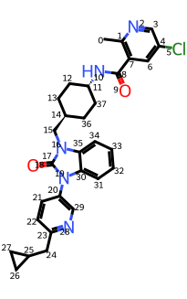 Cc1ncc(Cl)cc1C(=O)N[C@H]1CC[C@H](Cn2c(=O)n(-c3ccc(CC4CC4)nc3)c3ccccc32)CC1